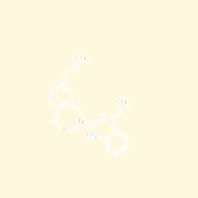 CCOc1ccccc1NC(=O)N1CCOc2ccc(COC)cc2C1